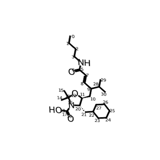 CCCCNC(=O)C=CC(C[C@@H]1OC(C)(C)N(C(=O)O)[C@H]1CC1CCCCC1)C(C)C